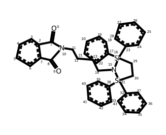 O=C1c2ccccc2C(=O)N1CCCCN1[Si](c2ccccc2)(c2ccccc2)CC[Si]1(c1ccccc1)c1ccccc1